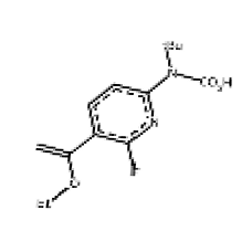 C=C(OCC)c1ccc(N(C(=O)O)C(C)(C)C)nc1F